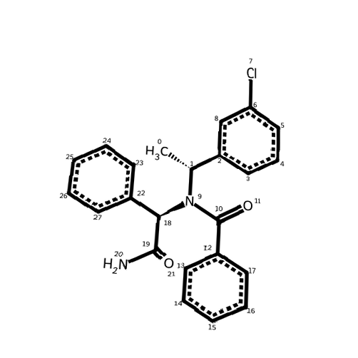 C[C@H](c1cccc(Cl)c1)N(C(=O)c1ccccc1)[C@@H](C(N)=O)c1ccccc1